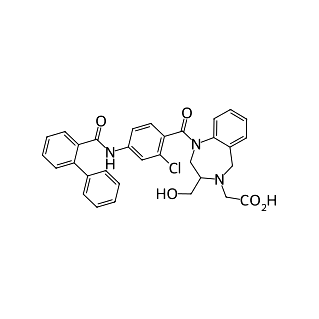 O=C(O)CN1Cc2ccccc2N(C(=O)c2ccc(NC(=O)c3ccccc3-c3ccccc3)cc2Cl)CC1CO